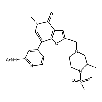 CC(=O)Nc1cc(-c2cn(C)c(=O)c3cc(CN4CCN(S(C)(=O)=O)C(C)C4)oc23)ccn1